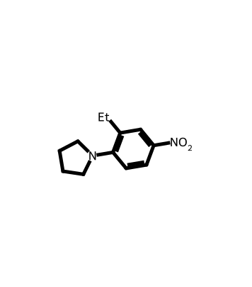 CCc1cc([N+](=O)[O-])ccc1N1CCCC1